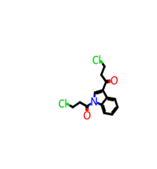 O=C(CCCl)c1cn(C(=O)CCCl)c2ccccc12